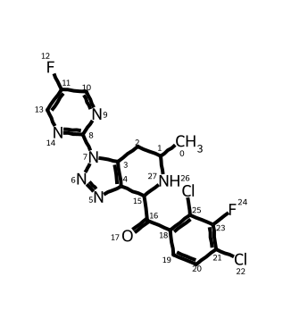 CC1Cc2c(nnn2-c2ncc(F)cn2)C(C(=O)c2ccc(Cl)c(F)c2Cl)N1